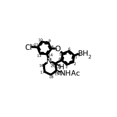 Bc1ccc2c(c1)Oc1ccc(Cl)cc1N1CCC[C@H](NC(C)=O)[C@@H]21